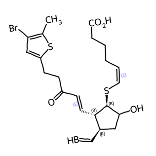 B=C[C@@H]1CC(O)[C@H](S/C=C\CCCC(=O)O)[C@H]1/C=C/C(=O)CCc1cc(Br)c(C)s1